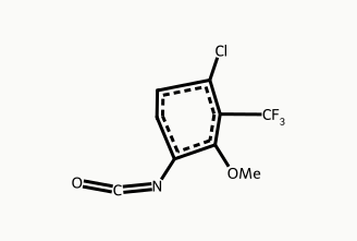 COc1c(N=C=O)ccc(Cl)c1C(F)(F)F